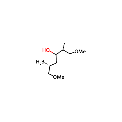 B[C@@H](COC)CC(O)C(C)COC